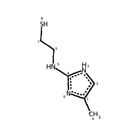 Cc1c[nH]c(NCCS)n1